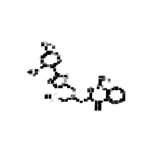 CCN(CC(=O)Nc1ccccc1OC)Cc1coc(-c2ccc(C)cc2C)n1